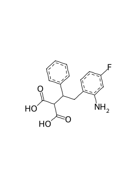 Nc1cc(F)ccc1CC(c1ccccc1)C(C(=O)O)C(=O)O